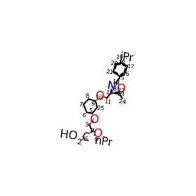 CCCOC(CO[C@@H]1CCC[C@H](OCc2nc(-c3ccc(C(C)C)cc3)oc2C)C1)C(=O)O